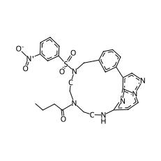 CCCC(=O)N1CCNc2ccn3ncc(c3n2)-c2cccc(c2)CN(S(=O)(=O)c2cccc([N+](=O)[O-])c2)CC1